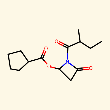 CCC(C)C(=O)N1C(=O)CC1OC(=O)C1CCCC1